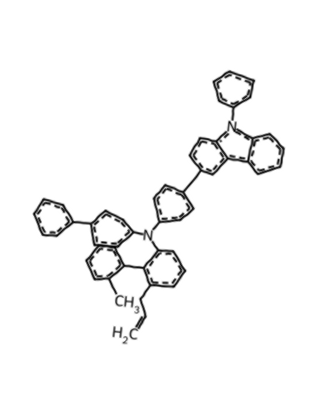 C=CCc1cccc(N(c2ccc(-c3ccccc3)cc2)c2ccc(-c3ccc4c(c3)c3ccccc3n4-c3ccccc3)cc2)c1-c1ccccc1C